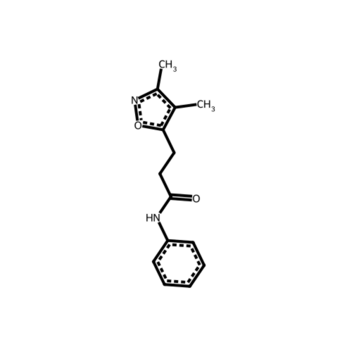 Cc1noc(CCC(=O)Nc2ccccc2)c1C